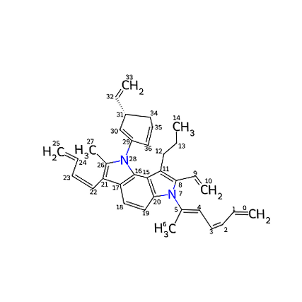 C=C/C=C\C=C(/C)n1c(C=C)c(CCC)c2c3c(ccc21)c(/C=C\C=C)c(C)n3C1=C[C@H](C=C)CC=C1